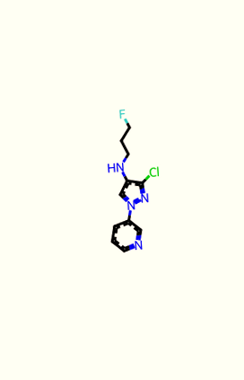 FCCCNc1cn(-c2cccnc2)nc1Cl